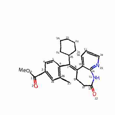 COC(=O)c1ccc(/C(=C2\CCC(=O)Nc3ncccc32)C2CCCCC2)c(C)c1